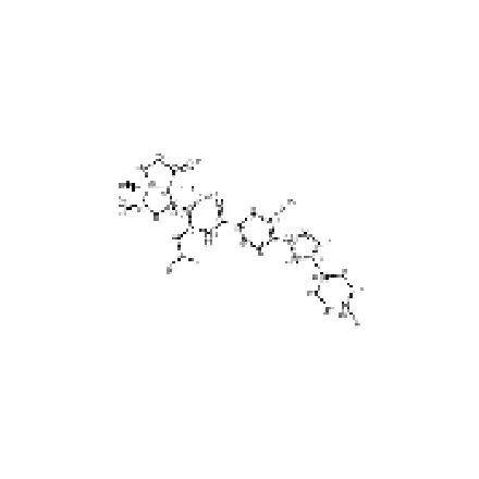 CC(C)C[C@H](NC(=O)c1ccc(-c2csc(N3CCN(C)CC3)n2)c(F)c1)C(=O)N1C[C@@H](Cl)[C@H]2CCC(=O)[C@H]21